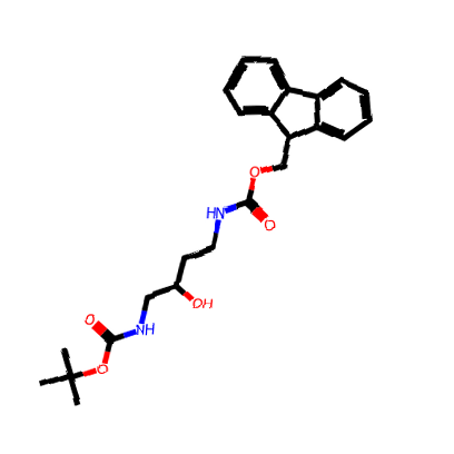 CC(C)(C)OC(=O)NCC(O)CCNC(=O)OCC1c2ccccc2-c2ccccc21